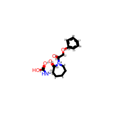 O=C(O)N[C@H]1CCCCN(C(=O)COc2ccccc2)C1=O